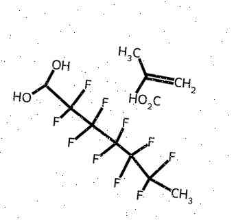 C=C(C)C(=O)O.CC(F)(F)C(F)(F)C(F)(F)C(F)(F)C(F)(F)C(O)O